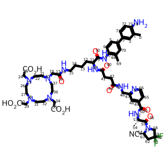 Cc1cc(-c2ccc(NC(=O)C(CCCCNC(=O)CN3CCN(CC(=O)O)CCN(CC(=O)O)CCN(CC(=O)O)CC3)NC(=O)CCC(=O)NCc3cc(C(=O)N[C@@H](C)C(=O)N4CC(F)(F)C[C@H]4C#N)ccn3)c(C)c2)ccc1N